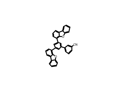 N#Cc1cccc(-c2cc(-c3cccc4c3oc3ccccc34)cc(-c3cccc4c3oc3ccccc34)c2)c1